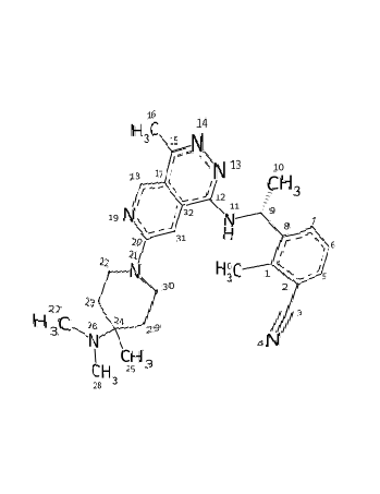 Cc1c(C#N)cccc1[C@@H](C)Nc1nnc(C)c2cnc(N3CCC(C)(N(C)C)CC3)cc12